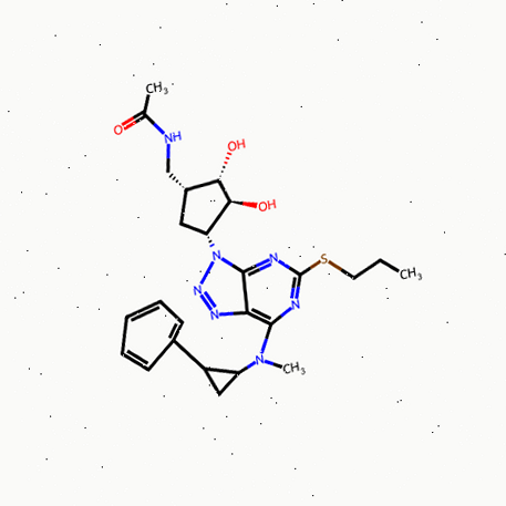 CCCSc1nc(N(C)C2CC2c2ccccc2)c2nnn([C@@H]3C[C@H](CNC(C)=O)[C@H](O)[C@H]3O)c2n1